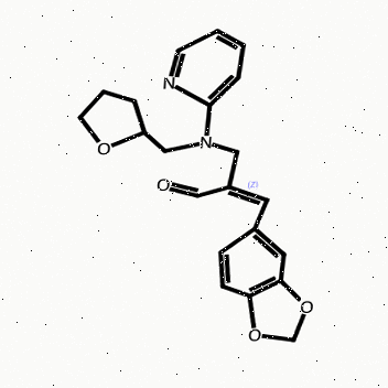 O=C/C(=C\c1ccc2c(c1)OCO2)CN(CC1CCCO1)c1ccccn1